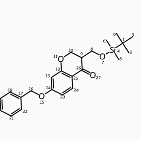 CC(C)(C)[Si](C)(C)OCC1COc2cc(OCc3ccccc3)ccc2C1=O